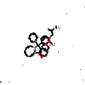 NC(=O)CN1CC[C@@]2(CCN(C(=O)C3=CC=CC=CN3C(c3ccccc3)(c3ccccc3)c3ccccc3)C2)C1=O